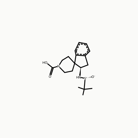 CC(C)(C)[S@@+]([O-])N[C@@H]1Cc2ccccc2C12CCN(C(=O)O)CC2